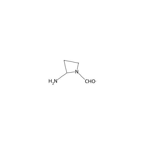 NC1CCN1[C]=O